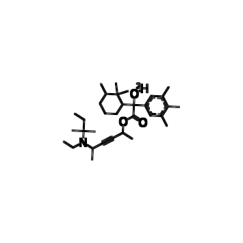 [2H]OC(C(=O)OC(C)C#CC(C)N(CC)C(C)(C)CC)(c1cc(C)c(C)c(C)c1)C1CCCC(C)C1(C)C